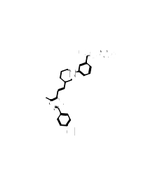 COC(=O)c1cccc(N2CCCC(C=Cc3sc(-c4ccc(Cl)cc4)nc3C)C2)c1